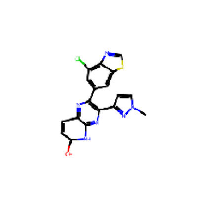 Cn1ccc(-c2nc3c(nc2-c2cc(Cl)c4ncsc4c2)C=CC(O)N3)n1